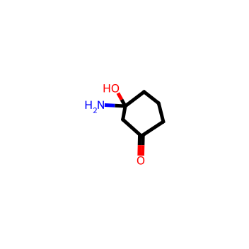 NC1(O)CCCC(=O)C1